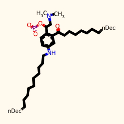 CCCCCCCCCCCCCCCCCCCCNc1ccc(C(CN(C)C)OP(=O)=O)c(C(=O)CCCCCCCCCCCCCCCCC)c1